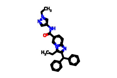 CCc1c(C(c2ccccc2)c2ccccc2)nc2ccc(C(=O)Nc3cnn(CC)c3)cn12